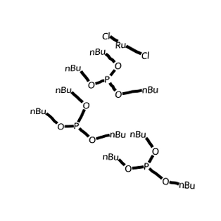 CCCCOP(OCCCC)OCCCC.CCCCOP(OCCCC)OCCCC.CCCCOP(OCCCC)OCCCC.[Cl][Ru][Cl]